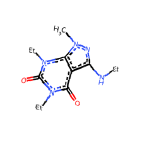 CCNc1nn(C)c2c1c(=O)n(CC)c(=O)n2CC